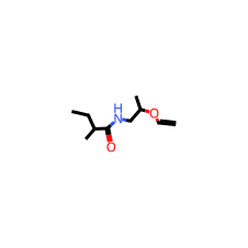 C=COC(C)CNC(=O)C(C)CC